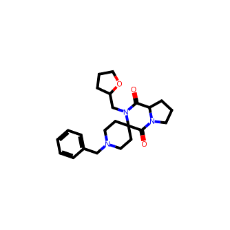 O=C1C2CCCN2C(=O)C2(CCN(Cc3ccccc3)CC2)N1CC1CCCO1